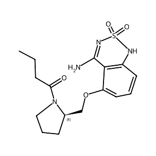 CCCC(=O)N1CCC[C@@H]1COc1cccc2c1C(N)=NS(=O)(=O)N2